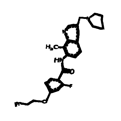 Cc1c(NC(=O)c2ccc(OCCC(C)C)cc2F)ccc2cc(CN3CCCC3)cnc12